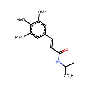 COc1cc(/C=C/C(=O)NC(C)C(=O)O)cc(OC)c1OC